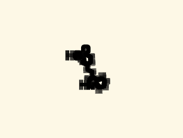 O=c1ccc(CCc2c[nH]c3ccccc23)cn1O